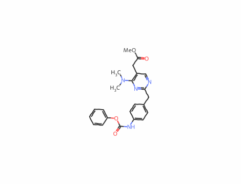 COC(=O)Cc1cnc(Cc2ccc(NC(=O)Oc3ccccc3)cc2)nc1N(C)C